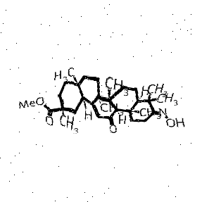 COC(=O)[C@@]1(C)CC[C@]2(C)CC[C@]3(C)C(=CC(=O)[C@@H]4[C@@]5(C)CC/C(=N\O)C(C)(C)[C@@H]5CC[C@]43C)[C@@H]2C1